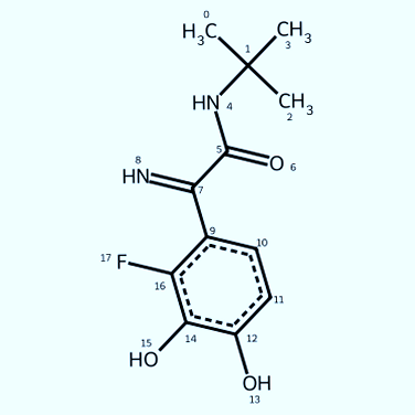 CC(C)(C)NC(=O)C(=N)c1ccc(O)c(O)c1F